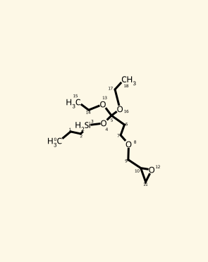 CCC[SiH2]OC(CCOCC1CO1)(OCC)OCC